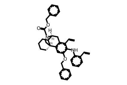 C=Cc1ccccc1Nc1c(OCc2ccccc2)cc2c(c1C=C)C[C@H]1C3CCCC[C@@]23CCN1C(=O)OCc1ccccc1